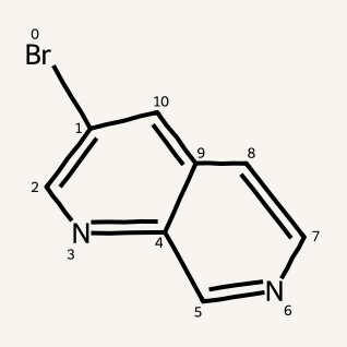 Brc1cnc2cnccc2c1